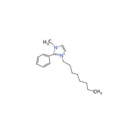 CCCCCCCC[n+]1ccn(C)c1-c1ccccc1